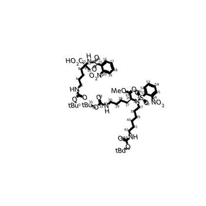 CC(C)(C)OC(=O)NCCCC[C@](C)(NS(=O)(=O)c1ccccc1[N+](=O)[O-])C(=O)O.COC(=O)[C@H](CCCCNC(=O)OC(C)(C)C)N(CCCCCCNC(=O)OC(C)(C)C)S(=O)(=O)c1ccccc1[N+](=O)[O-]